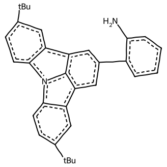 CC(C)(C)c1ccc2c(c1)c1cc(-c3ccccc3N)cc3c4cc(C(C)(C)C)ccc4n2c13